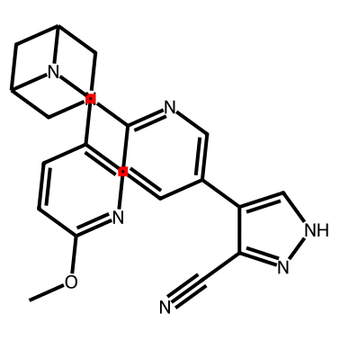 COc1ccc(CN2C3CC2CN(c2ccc(-c4c[nH]nc4C#N)cn2)C3)cn1